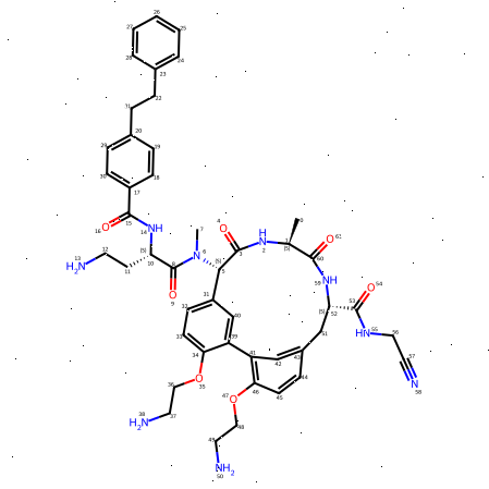 C[C@@H]1NC(=O)[C@@H](N(C)C(=O)[C@H](CCN)NC(=O)c2ccc(CCc3ccccc3)cc2)c2ccc(OCCN)c(c2)-c2cc(ccc2OCCN)C[C@@H](C(=O)NCC#N)NC1=O